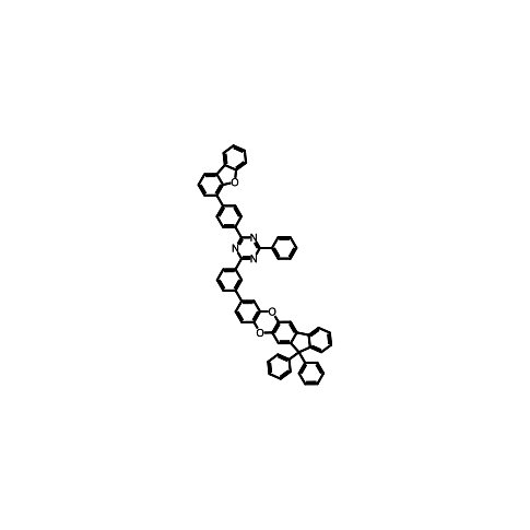 c1ccc(-c2nc(-c3ccc(-c4cccc5c4oc4ccccc45)cc3)nc(-c3cccc(-c4ccc5c(c4)Oc4cc6c(cc4O5)C(c4ccccc4)(c4ccccc4)c4ccccc4-6)c3)n2)cc1